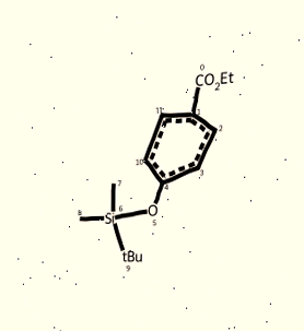 CCOC(=O)c1ccc(O[Si](C)(C)C(C)(C)C)cc1